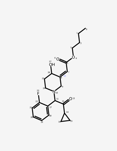 CCCCOC(=O)/C=C1/CN(C(C(=O)C2CC2)c2ccccc2F)CCC1O